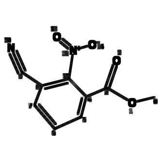 COC(=O)c1cccc(C#N)c1[N+](=O)[O-]